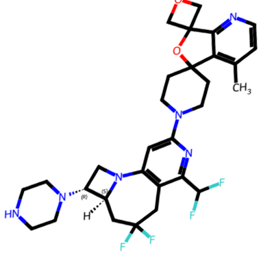 Cc1ccnc2c1C1(CCN(c3cc4c(c(C(F)F)n3)CC(F)(F)C[C@H]3[C@H](N5CCNCC5)CN43)CC1)OC21COC1